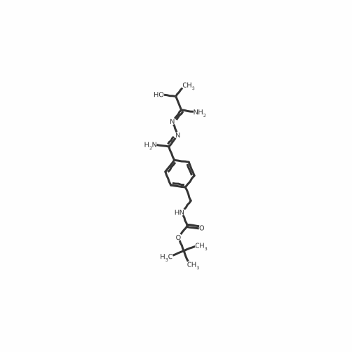 CC(O)/C(N)=N/N=C(\N)c1ccc(CNC(=O)OC(C)(C)C)cc1